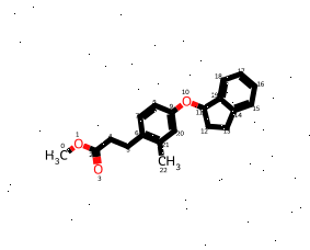 COC(=O)CCc1ccc(OC2CCc3ccccc32)cc1C